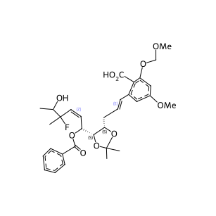 COCOc1cc(OC)cc(/C=C/C[C@@H]2OC(C)(C)O[C@@H]2C(/C=C\C(C)(F)C(C)O)OC(=O)c2ccccc2)c1C(=O)O